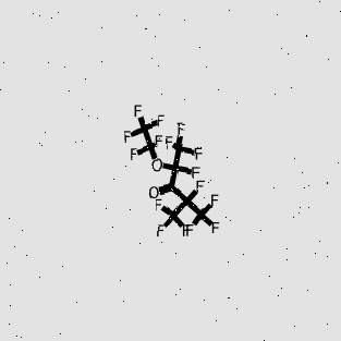 O=C(C(F)(OC(F)(F)C(F)(F)F)C(F)(F)F)C(F)(C(F)(F)F)C(F)(F)F